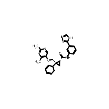 Cc1ncc(OC[C@@]2(C3C=CC=CC3)C[C@H]2C(=O)Nc2cccc(-c3nnc[nH]3)c2)c(C)n1